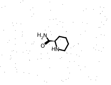 NC(=O)[C@H]1CCCCN1